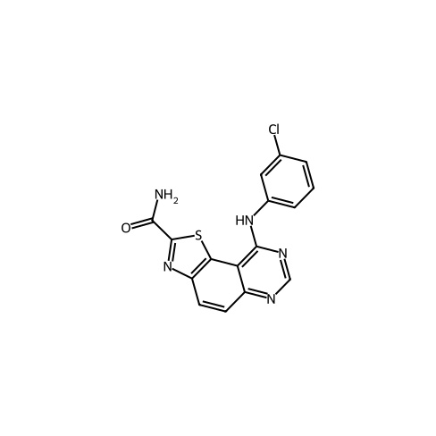 NC(=O)c1nc2ccc3ncnc(Nc4cccc(Cl)c4)c3c2s1